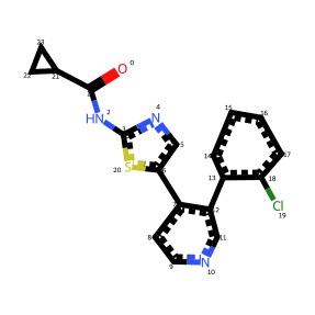 O=C(Nc1ncc(-c2ccncc2-c2ccccc2Cl)s1)C1CC1